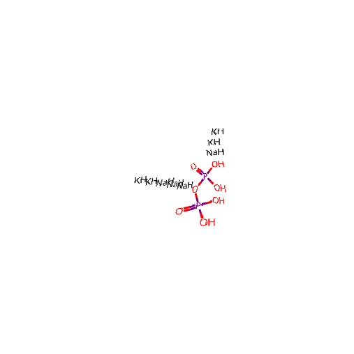 O=P(O)(O)OP(=O)(O)O.[KH].[KH].[KH].[KH].[NaH].[NaH].[NaH].[NaH]